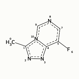 Cc1nnc2c(F)cncn12